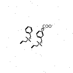 C=CC[N+](C)(C)Cc1ccccc1.C=CC[N+](C)(C)Cc1ccccc1.O=C([O-])[O-]